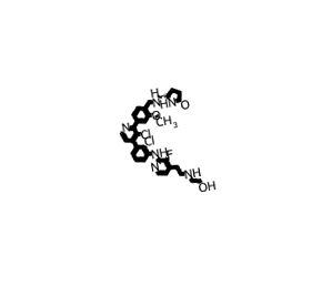 COc1cc(-c2nccc(-c3cccc(Nc4nccc(CCNCCO)c4F)c3Cl)c2Cl)ccc1CNC[C@@H]1CCC(=O)N1